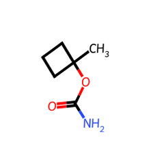 CC1(OC(N)=O)CCC1